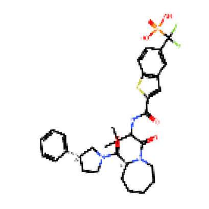 CC(C)(C)C(NC(=O)c1cc2cc(C(F)(F)P(=O)(O)O)ccc2s1)C(=O)N1CCCCC[C@H]1C(=O)N1CC[C@H](c2ccccc2)C1